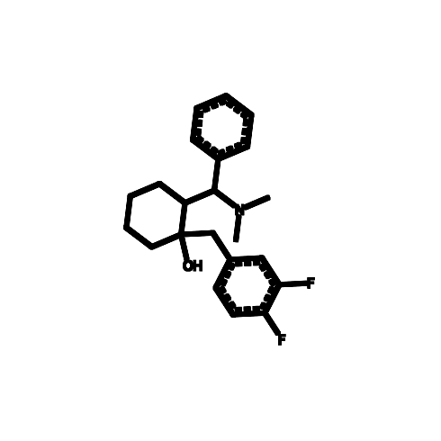 CN(C)C(c1ccccc1)C1CCCCC1(O)Cc1ccc(F)c(F)c1